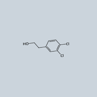 OCCc1ccc(Cl)c(Cl)c1